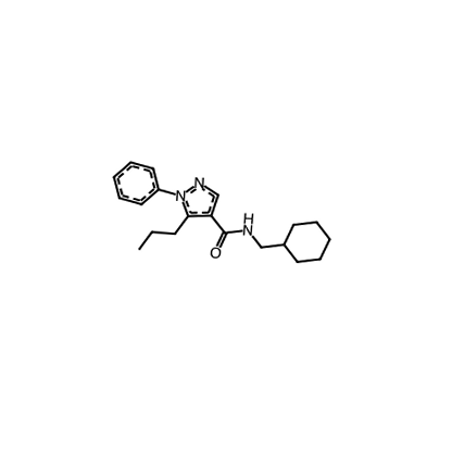 CCCc1c(C(=O)NCC2CCCCC2)cnn1-c1ccccc1